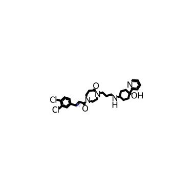 O=C(/C=C/c1ccc(Cl)c(Cl)c1)N1CCC(=O)N(CCCNC2CCC(O)(c3ccccn3)CC2)CC1